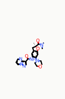 CN(C)C(=O)[C@]1(C)Cc2cc(NC(=O)c3cnn4cccnc34)c(N3CCOCC3)cc2O1